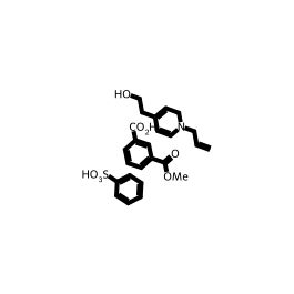 C=CCN1C=CC(CCO)=CC1.COC(=O)c1cccc(C(=O)O)c1.O=S(=O)(O)c1ccccc1